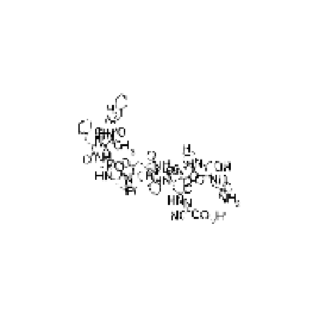 CC(C)C[C@H](NC(=O)CNC(=O)[C@H](Cc1ccccc1)N(C)C(=O)[C@H](C)NC(=O)[C@@H](N)Cc1ccccc1)C(=O)N[C@@H](C)C(=O)C[C@H](C(=O)N[C@@H](Cc1ccccc1)C(=O)N[C@@H](CC(=O)N/N=C(\C#N)C(=O)O)C(=O)N(C)[C@@H](C)C(=O)N[C@@H](CO)C(=O)NCC(N)=O)C(C)C